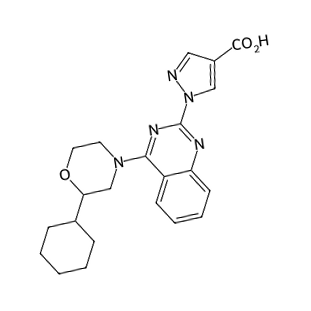 O=C(O)c1cnn(-c2nc(N3CCOC(C4CCCCC4)C3)c3ccccc3n2)c1